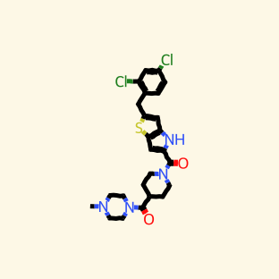 CN1CCN(C(=O)C2CCN(C(=O)c3cc4sc(Cc5ccc(Cl)cc5Cl)cc4[nH]3)CC2)CC1